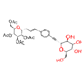 CC(=O)OC[C@H]1O[C@H](C/C=C/c2ccc(C#C[C@H]3O[C@H](CO)[C@@H](O)[C@H](O)[C@@H]3O)cc2)[C@@H](OC(C)=O)[C@@H](OC(C)=O)[C@@H]1OC(C)=O